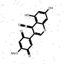 COC1=CC(=O)C(C2=COc3cc(O)cc(O)c3C2=C=O)=CC1=O